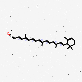 CC1=CCCC(C)(C)C1/C=C/C(C)=C/C=C/C(C)=C/C=C/C=C(C)/C=C/C=C=O